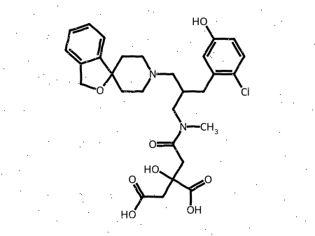 CN(CC(Cc1cc(O)ccc1Cl)CN1CCC2(CC1)OCc1ccccc12)C(=O)CC(O)(CC(=O)O)C(=O)O